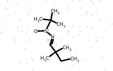 CCC(C)(C)/C=N/[S+]([O-])C(C)(C)C